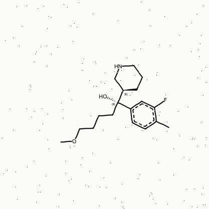 COCCCC[C@](O)(c1ccc(C)c(F)c1)[C@@H]1CCCNC1